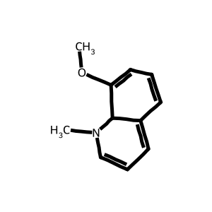 COC1=CC=CC2=CC=CN(C)C21